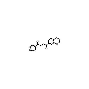 O=C(CCC(=O)c1ccc2c(c1)OCCC2)c1ccncc1